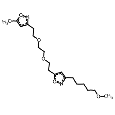 COCCCCCc1cc(CCOCCOCCc2cc(C)on2)on1